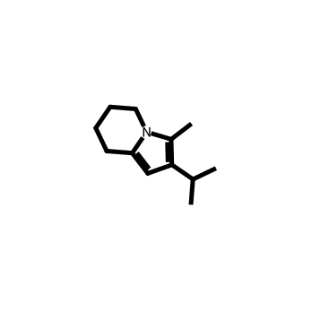 Cc1c(C(C)C)cc2n1CCCC2